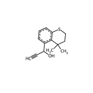 C#CC(O)c1cccc2c1C(C)(C)CCS2